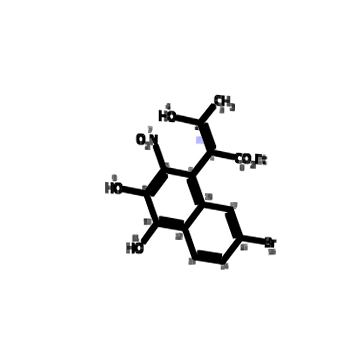 CCOC(=O)/C(=C(\C)O)c1c([N+](=O)[O-])c(O)c(O)c2ccc(Br)cc12